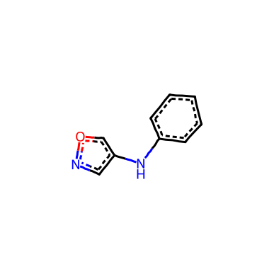 c1ccc(Nc2cnoc2)cc1